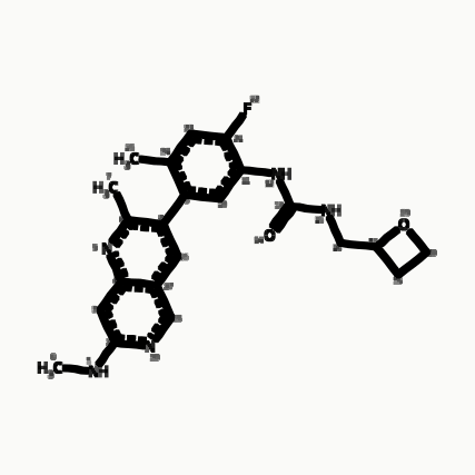 CNc1cc2nc(C)c(-c3cc(NC(=O)NCC4CCO4)c(F)cc3C)cc2cn1